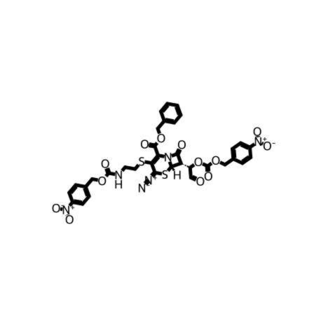 [N-]=[N+]=C1S[C@H]2[C@@H](C(C=O)OC(=O)OCc3ccc([N+](=O)[O-])cc3)C(=O)N2C(C(=O)OCc2ccccc2)=C1SCCNC(=O)OCc1ccc([N+](=O)[O-])cc1